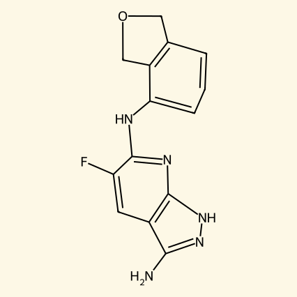 Nc1n[nH]c2nc(Nc3cccc4c3COC4)c(F)cc12